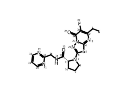 CCc1nc2sc(N3CCC[C@@H]3C(=O)NCc3ncccn3)nn2c(=O)c1F